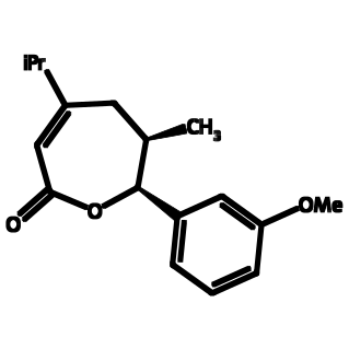 COc1cccc([C@H]2OC(=O)C=C(C(C)C)C[C@H]2C)c1